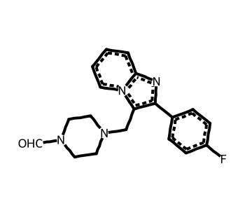 O=CN1CCN(Cc2c(-c3ccc(F)cc3)nc3ccccn23)CC1